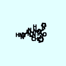 Cc1cn2c(-c3cn[nH]c3)cnc2c(Nc2cc(CN3CCCC3)c(C(=O)N3CCCCC3)s2)n1